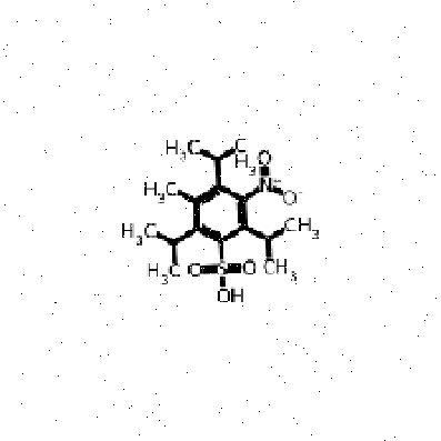 Cc1c(C(C)C)c([N+](=O)[O-])c(C(C)C)c(S(=O)(=O)O)c1C(C)C